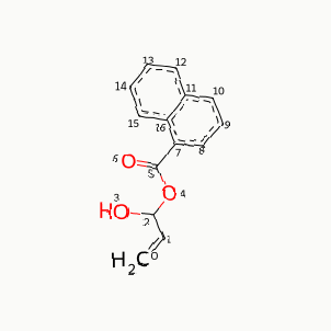 C=CC(O)OC(=O)c1cccc2ccccc12